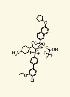 CCOc1cc(-c2ccc(C(F)(F)[C@H](NS(=O)(=O)c3ccc4cc(OC5CCCC5)ccc4c3)C(=O)N3CCC(N)CC3)cc2)ccc1Cl.O=C(O)C(F)(F)F